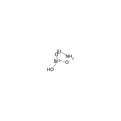 CCN.[O-][Br+2]([O-])O